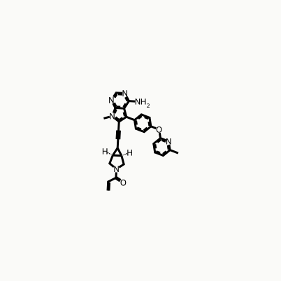 C=CC(=O)N1C[C@@H]2C(C#Cc3c(-c4ccc(Oc5cccc(C)n5)cc4)c4c(N)ncnc4n3C)[C@@H]2C1